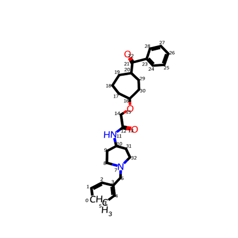 C/C=C\C(=C/C)CN1CCC(NC(=O)COC2CCCC(C(=O)c3ccccc3)CC2)CC1